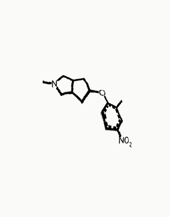 Cc1cc([N+](=O)[O-])ccc1OC1CC2CN(C)CC2C1